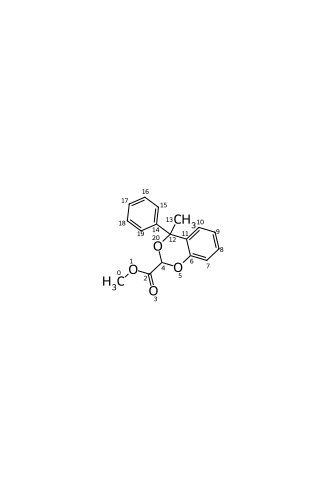 COC(=O)C1Oc2ccccc2C(C)(c2ccccc2)O1